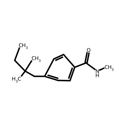 CCC(C)(C)Cc1ccc(C(=O)NC)cc1